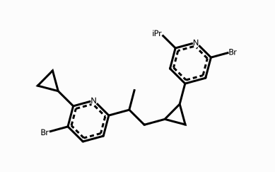 CC(C)c1cc(C2CC2CC(C)c2ccc(Br)c(C3CC3)n2)cc(Br)n1